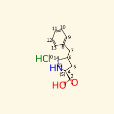 Cl.O=C(O)[C@@H]1CC(Cc2ccccc2)CN1